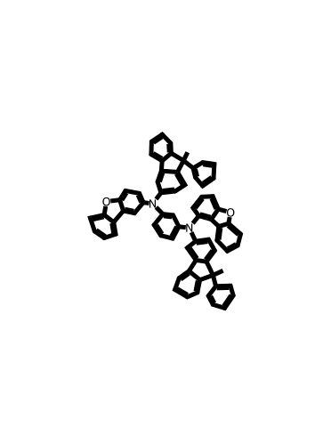 CC1(c2ccccc2)c2ccccc2-c2cc(N(c3cccc(N(c4ccc5c(c4)-c4ccccc4C5(C)c4ccccc4)c4cccc5oc6ccccc6c45)c3)c3ccc4oc5ccccc5c4c3)ccc21